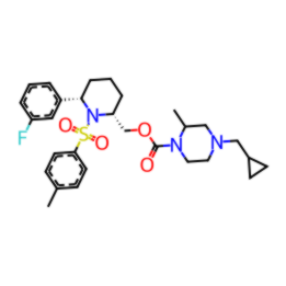 Cc1ccc(S(=O)(=O)N2[C@@H](COC(=O)N3CCN(CC4CC4)CC3C)CCC[C@H]2c2cccc(F)c2)cc1